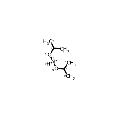 CC(C)[O][Al+][O]C(C)C.[H-]